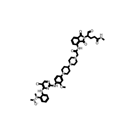 CNC(=O)CCC(C=O)N1C(=O)c2cccc(NC(=O)CN3CCN(C4CCN(c5ccc(Nc6ncc(Cl)c(Nc7ccccc7N(C)[S+](C)[O-])n6)c(OC)c5)CC4)CC3)c2C1=O